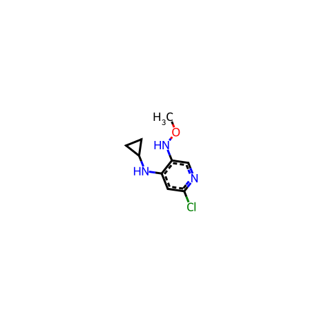 CONc1cnc(Cl)cc1NC1CC1